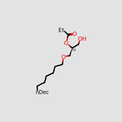 CCCCCCCCCCCCCCCCOC[C@H](CO)OC(=O)CC